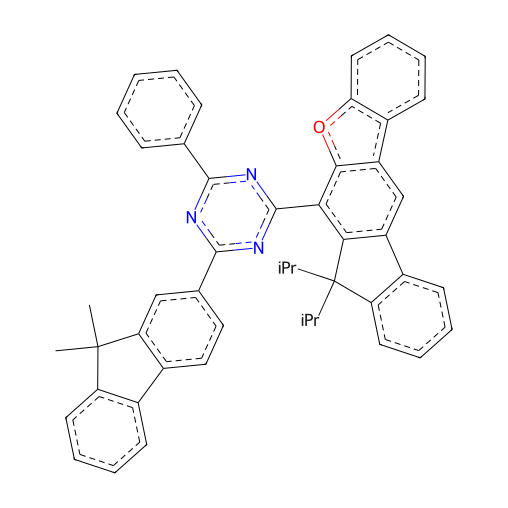 CC(C)C1(C(C)C)c2ccccc2-c2cc3c(oc4ccccc43)c(-c3nc(-c4ccccc4)nc(-c4ccc5c(c4)C(C)(C)c4ccccc4-5)n3)c21